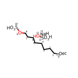 CCCCCCCCCCCCCCCCCCOS(=O)(=O)O.O=S(=O)(O)O.[NaH]